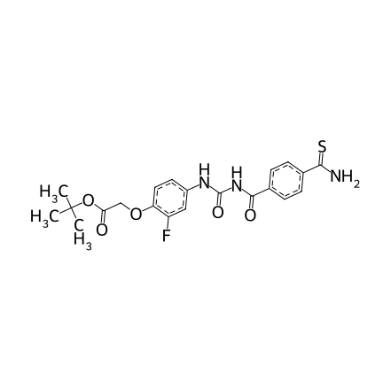 CC(C)(C)OC(=O)COc1ccc(NC(=O)NC(=O)c2ccc(C(N)=S)cc2)cc1F